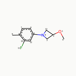 COC1CN(c2ccc(C)c(F)c2)C1